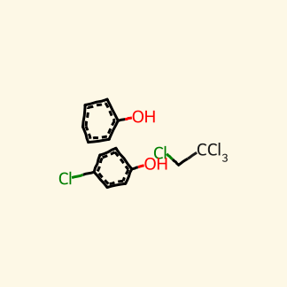 ClCC(Cl)(Cl)Cl.Oc1ccc(Cl)cc1.Oc1ccccc1